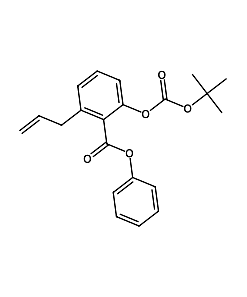 C=CCc1cccc(OC(=O)OC(C)(C)C)c1C(=O)Oc1ccccc1